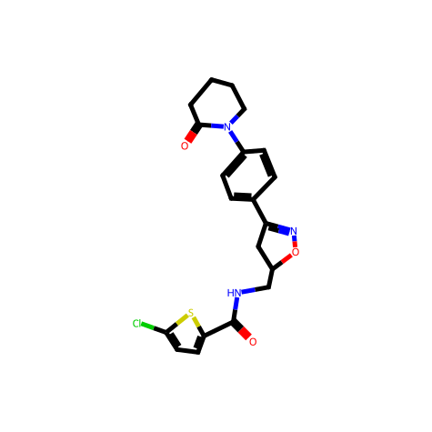 O=C(NCC1CC(c2ccc(N3CCCCC3=O)cc2)=NO1)c1ccc(Cl)s1